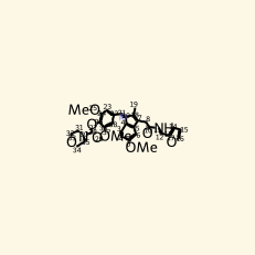 COc1ccc2c(c1)C(CC(=O)NCc1ccco1)=C(C)/C2=C/c1cc(OC)c(OC(=O)N2CCOCC2)c(OC)c1